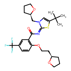 CC(C)(C)c1cn(C[C@H]2CCCO2)c(=NC(=O)c2cc(C(F)(F)F)ccc2OCC[C@H]2CCCO2)s1